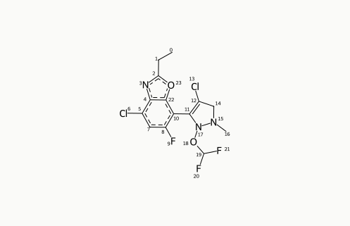 CCc1nc2c(Cl)cc(F)c(C3=C(Cl)CN(C)N3OC(F)F)c2o1